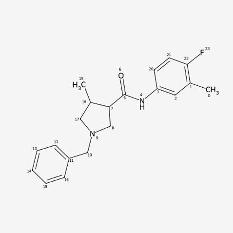 Cc1cc(NC(=O)C2CN(Cc3ccccc3)CC2C)ccc1F